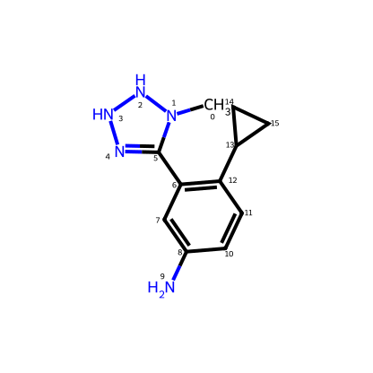 CN1NNN=C1c1cc(N)ccc1C1CC1